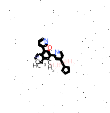 BC(B)(c1ccnc(-c2c(C)c(C#C)c(/C=C\C)c3c2oc2ncccc23)c1)C1CCCC1